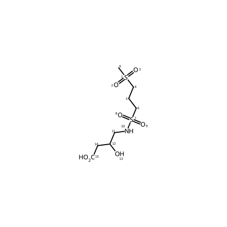 CS(=O)(=O)CCCS(=O)(=O)NCC(O)CC(=O)O